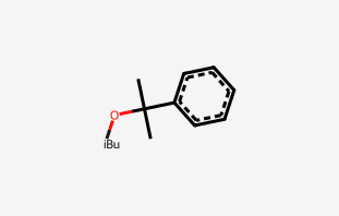 CCC(C)OC(C)(C)c1ccccc1